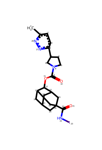 Cc1ccc(C2CCN(C(=O)OC3C4CC5CC3CC(C(=O)NI)(C5)C4)C2)nn1